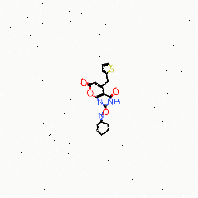 O=c1cc(Cc2cccs2)c2c(=O)[nH]c(ON=C3CCCCC3)nc2o1